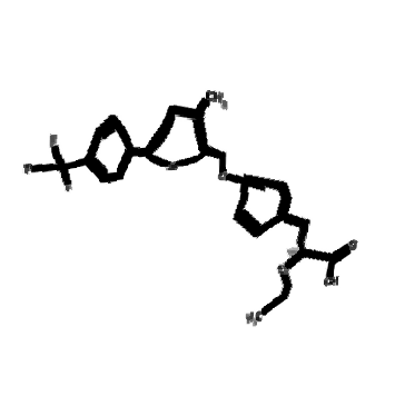 CCO[C@@H](Cc1ccc(OCc2sc(-c3ccc(C(F)(F)F)cc3)cc2C)cc1)C(=O)O